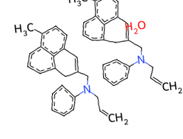 C=CCN(CC1=Cc2ccc(C)c3cccc(c23)C1)c1ccccc1.C=CCN(CC1=Cc2ccc(C)c3cccc(c23)C1)c1ccccc1.O